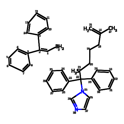 BC=C(c1ccccc1)c1ccccc1.C=C(C)CCC[SiH2]C(c1ccccc1)(c1ccccc1)n1ccnc1